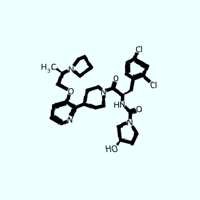 C[C@H](COc1cccnc1C1CCN(C(=O)[C@@H](Cc2ccc(Cl)cc2Cl)NC(=O)N2CC[C@@H](O)C2)CC1)N1CCCC1